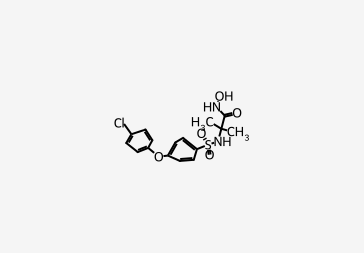 CC(C)(NS(=O)(=O)c1ccc(Oc2ccc(Cl)cc2)cc1)C(=O)NO